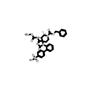 CC(C)S(=O)(=O)c1ccc(-c2ccccc2N2C(=O)N=C(NC(=O)OC(C)(C)C)C23CCN(C(=O)OCc2ccccc2)[C@@H](C)C3)cc1